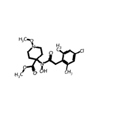 COC(=O)C1(N(O)C(=O)Cc2c(C)cc(Cl)cc2C)CCN(OC)CC1